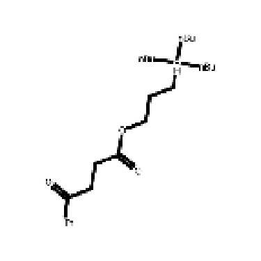 CCCC[PH](CCCC)(CCCC)CCCOC(=O)CCC(=O)C(C)C